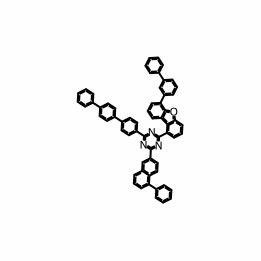 c1ccc(-c2ccc(-c3ccc(-c4nc(-c5ccc6c(-c7ccccc7)cccc6c5)nc(-c5cccc6oc7c(-c8cccc(-c9ccccc9)c8)cccc7c56)n4)cc3)cc2)cc1